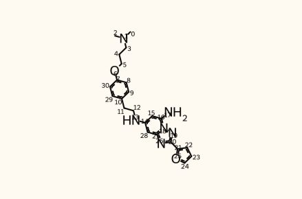 CN(C)CCCOc1ccc(CCNc2cc(N)n3nc(-c4ccco4)nc3c2)cc1